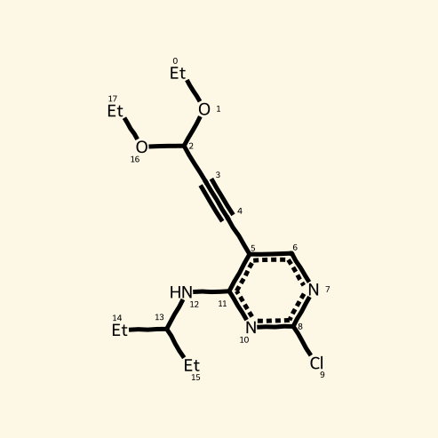 CCOC(C#Cc1cnc(Cl)nc1NC(CC)CC)OCC